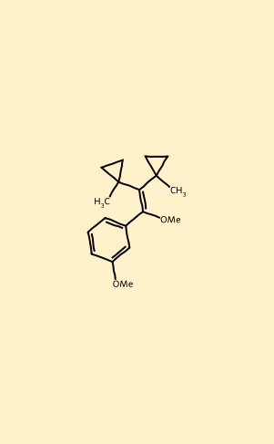 COC(=C(C1(C)CC1)C1(C)CC1)c1cccc(OC)c1